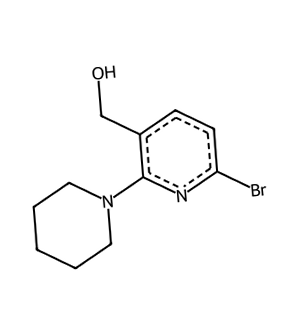 OCc1ccc(Br)nc1N1CCCCC1